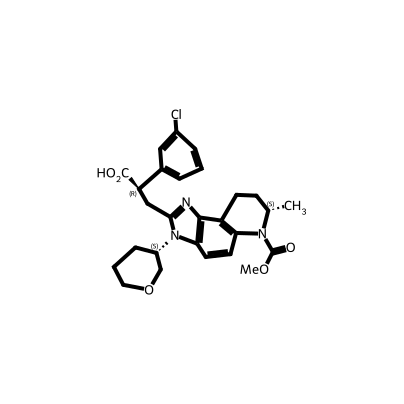 COC(=O)N1c2ccc3c(nc(C[C@@H](C(=O)O)c4cccc(Cl)c4)n3[C@H]3CCCOC3)c2CC[C@@H]1C